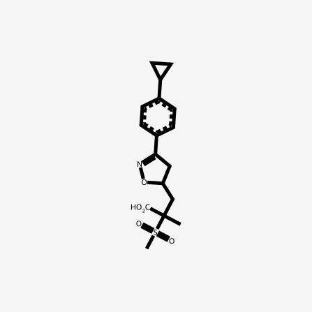 CC(CC1CC(c2ccc(C3CC3)cc2)=NO1)(C(=O)O)S(C)(=O)=O